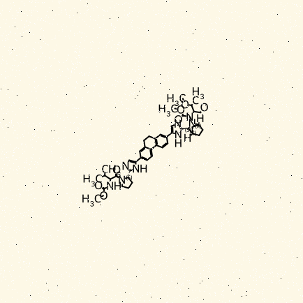 COC(=O)NC(C(=O)N1CCC[C@H]1c1ncc(-c2ccc3c(c2)CCc2cc(-c4cnc([C@@H]5[C@H]6CC[C@H](C6)N5N(C(=O)OC)C(C=O)C(C)OC)[nH]4)ccc2-3)[nH]1)C(C)C